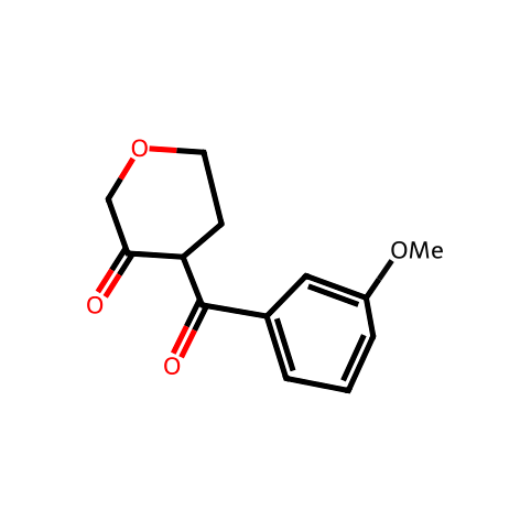 COc1cccc(C(=O)C2CCOCC2=O)c1